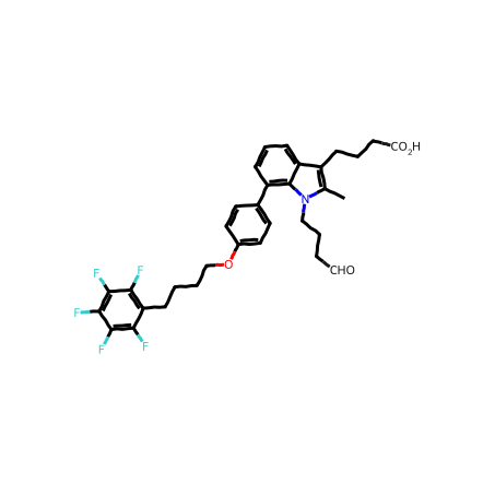 Cc1c(CCCC(=O)O)c2cccc(-c3ccc(OCCCCc4c(F)c(F)c(F)c(F)c4F)cc3)c2n1CCCC=O